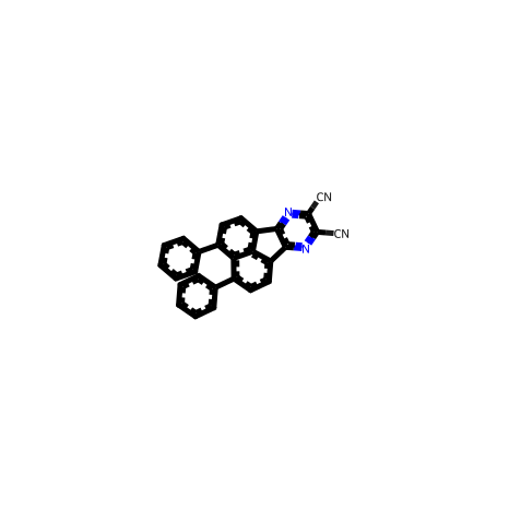 N#Cc1nc2c(nc1C#N)-c1ccc(-c3ccccc3)c3c(-c4ccccc4)ccc-2c13